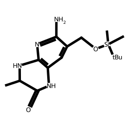 CC1Nc2nc(N)c(CO[Si](C)(C)C(C)(C)C)cc2NC1=O